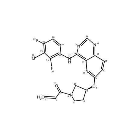 C=CC(=O)N1CC[C@H](Oc2ccc3ncnc(Nc4ccc(F)c(Cl)c4F)c3n2)C1